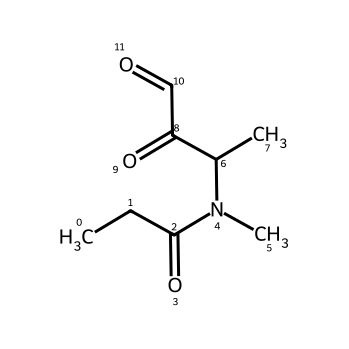 CCC(=O)N(C)C(C)C(=O)C=O